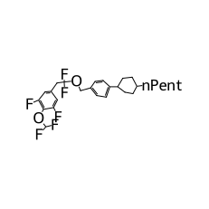 CCCCCC1CCC(c2ccc(COC(F)(F)Cc3cc(F)c(OC(F)F)c(F)c3)cc2)CC1